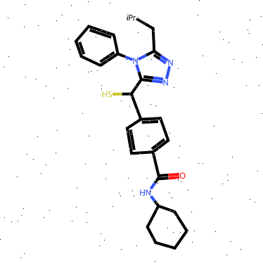 CC(C)Cc1nnc(C(S)c2ccc(C(=O)NC3CCCCC3)cc2)n1-c1ccccc1